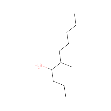 BC(CCC)C(C)CCCCC